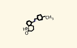 CCc1ccc(/C=C/c2cccc3c2CCCC(=O)N3)cc1